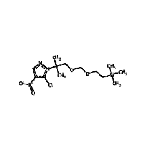 CC(C)(COCOCC[Si](C)(C)C)n1ncc([N+](=O)[O-])c1Cl